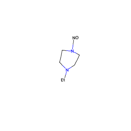 CCN1CCN(N=O)CC1